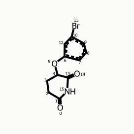 O=C1CCC(Oc2cccc(Br)c2)C(=O)N1